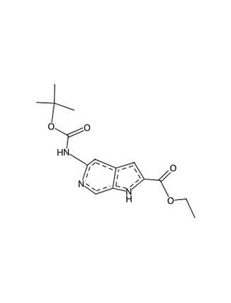 CCOC(=O)c1cc2cc(NC(=O)OC(C)(C)C)ncc2[nH]1